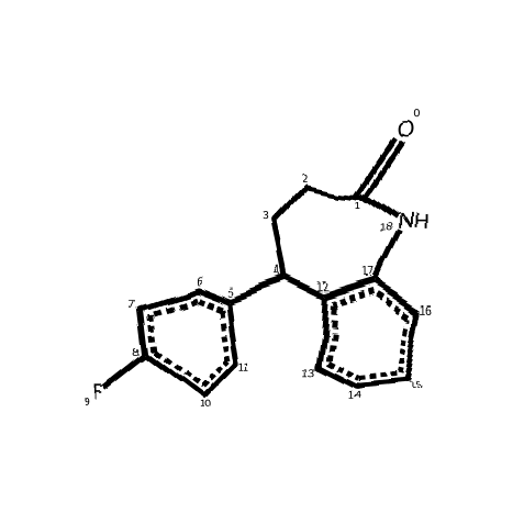 O=C1CCC(c2ccc(F)cc2)c2ccccc2N1